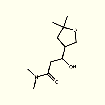 CN(C)C(=O)CC(O)C1COC(C)(C)C1